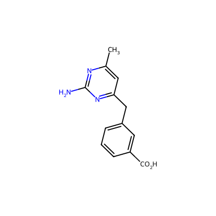 Cc1cc(Cc2cccc(C(=O)O)c2)nc(N)n1